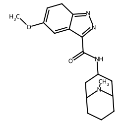 COC1=CCC2=NN=C(C(=O)NC3CC4CCCC(C3)N4C)C2=C1